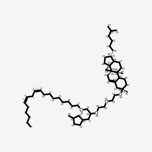 CCCCC/C=C\C/C=C\CCCCCCCCOCC(CC1CCC(C)C1)OCCOCCO[C@@]1(C)CCC2C(=CC[C@@]34C[C@]35CC[C@H](CCCCC(C)C)C5CC[C@]24C)C1